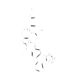 CCCc1nc2c(n1Cc1ccc(-c3ccccc3-c3nnn[nH]3)cc1)C(C(=O)OC)N(C(=O)CC(=O)OCC)CC2